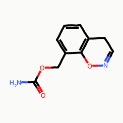 NC(=O)OCc1cccc2c1ON=CC2